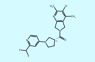 Cc1nc2c(c(C)c1Cl)CN(C(=O)[C@@H]1CCN(c3ccnc(C(F)F)c3)C1)C2